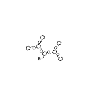 BrCc1cc(OCc2cc(OCc3ccccc3)cc(OCc3ccccc3)c2)cc(OCc2cc(OCc3ccccc3)cc(OCc3ccccc3)c2)c1